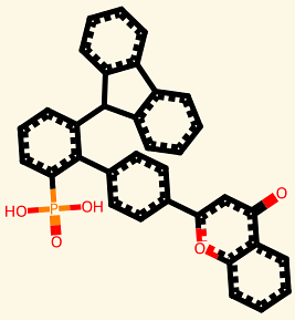 O=c1cc(-c2ccc(-c3c(C4c5ccccc5-c5ccccc54)cccc3P(=O)(O)O)cc2)oc2ccccc12